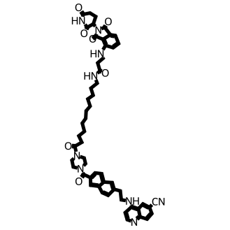 N#Cc1ccc2nccc(NCCc3ccc4cc(C(=O)N5CCN(C(=O)CCCCCCCCCCCNC(=O)CCNc6cccc7c6C(=O)N(C6CCC(=O)NC6=O)C7=O)CC5)ccc4c3)c2c1